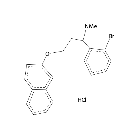 CNC(CCOc1ccc2ccccc2c1)c1ccccc1Br.Cl